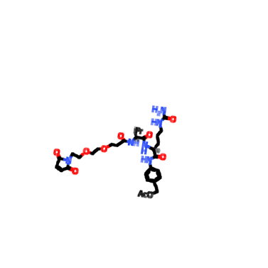 CC(=O)OCc1ccc(NC(=O)[C@H](CCCNC(N)=O)NC(=O)[C@@H](NC(=O)CCOCCOCCN2C(=O)C=CC2=O)C(C)C)cc1